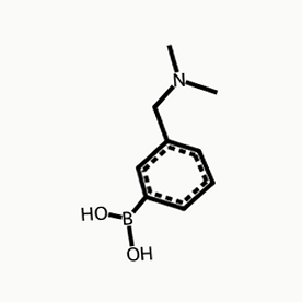 CN(C)Cc1cccc(B(O)O)c1